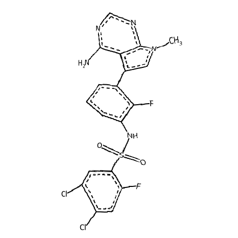 Cn1cc(-c2cccc(NS(=O)(=O)c3cc(Cl)c(Cl)cc3F)c2F)c2c(N)ncnc21